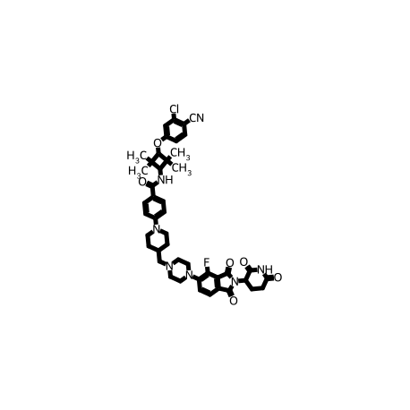 CC1(C)C(NC(=O)c2ccc(N3CCC(CN4CCN(c5ccc6c(c5F)C(=O)N(C5CCC(=O)NC5=O)C6=O)CC4)CC3)cc2)C(C)(C)C1Oc1ccc(C#N)c(Cl)c1